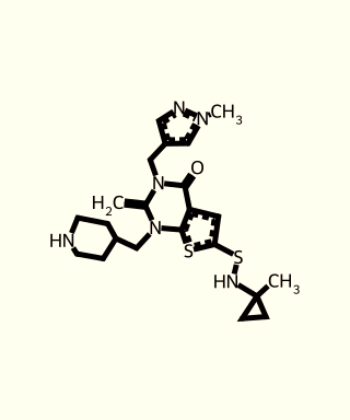 C=C1N(Cc2cnn(C)c2)C(=O)c2cc(SNC3(C)CC3)sc2N1CC1CCNCC1